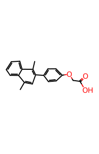 Cc1cc(-c2ccc(OCC(=O)O)cc2)c(C)c2ccccc12